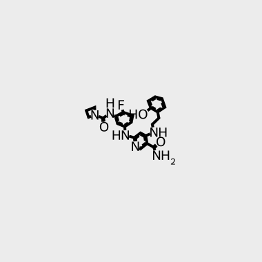 NC(=O)c1cnc(Nc2ccc(F)c(NC(=O)N3CCC3)c2)cc1NCCc1ccccc1O